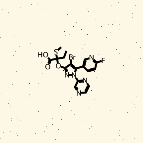 CCC(Oc1nn(-c2cnccn2)c(-c2ccc(F)nc2)c1Br)(SC)C(=O)O